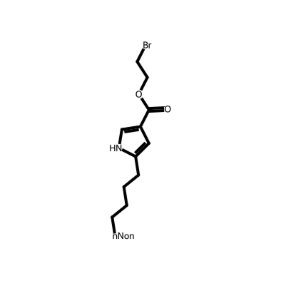 CCCCCCCCCCCCCc1cc(C(=O)OCCBr)c[nH]1